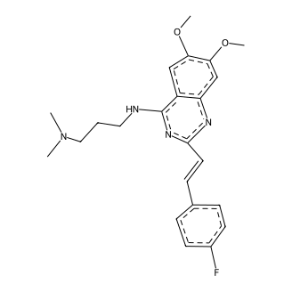 COc1cc2nc(C=Cc3ccc(F)cc3)nc(NCCCN(C)C)c2cc1OC